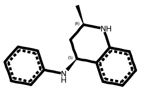 C[C@@H]1C[C@H](Nc2ccccc2)c2ccccc2N1